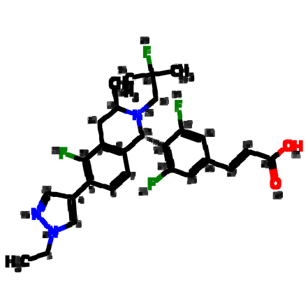 CCn1cc(-c2ccc3c(c2F)C[C@@H](C)N(CC(C)(C)F)[C@@H]3c2c(F)cc(/C=C/C(=O)O)cc2F)cn1